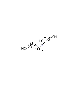 C#CCOC(=O)/C=C(C)/C=C/CC(C)CCCC(C)(C)OCC#C